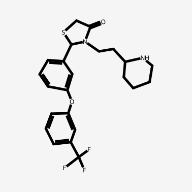 O=C1CSC(c2cccc(Oc3cccc(C(F)(F)F)c3)c2)N1CCC1CCCCN1